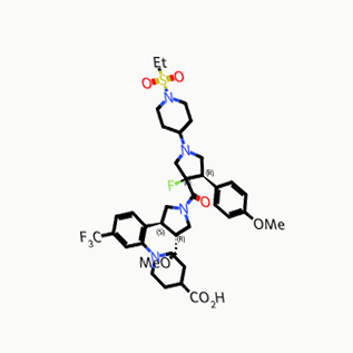 CCS(=O)(=O)N1CCC(N2C[C@@H](c3ccc(OC)cc3)[C@](F)(C(=O)N3C[C@H](COC)[C@@H](c4ccc(C(F)(F)F)cc4N4CCC(C(=O)O)CC4)C3)C2)CC1